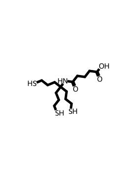 O=C(O)CCCC(=O)NC(CCCS)(CCCS)CCCS